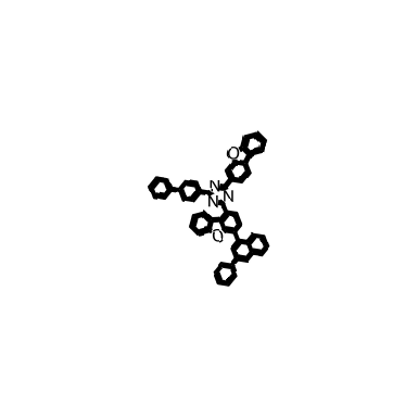 C1=CC2c3ccccc3OC2C=C1c1nc(-c2ccc(-c3ccccc3)cc2)nc(-c2ccc(-c3cc(-c4ccccc4)cc4ccccc34)c3oc4ccccc4c23)n1